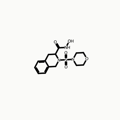 O=C(NO)C1Cc2ccccc2CN1S(=O)(=O)N1CCOCC1